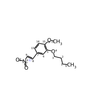 CCCCOc1cc(/C=C/[N+](=O)[O-])ccc1OC